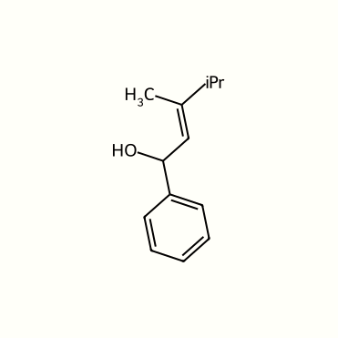 C/C(=C\C(O)c1ccccc1)C(C)C